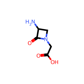 NC1CN(CC(=O)O)C1=O